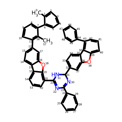 Cc1ccccc1-c1cccc(-c2ccc3c(c2)oc2c(C4=NC(c5ccccc5)=NC(c5ccc6c(c5)oc5cccc(-c7ccccc7)c56)N4)cccc23)c1C